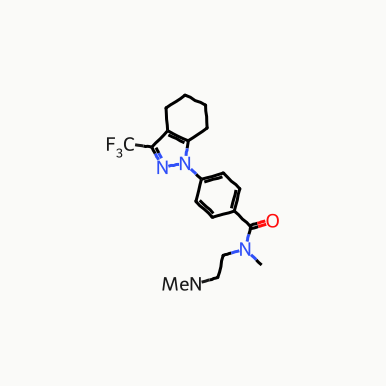 CNCCN(C)C(=O)c1ccc(-n2nc(C(F)(F)F)c3c2CCCC3)cc1